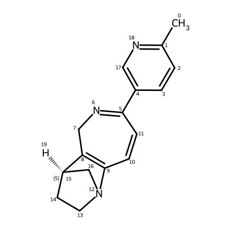 Cc1ccc(C2=NCC3=C(C=C2)N2CC[C@@H]3C2)cn1